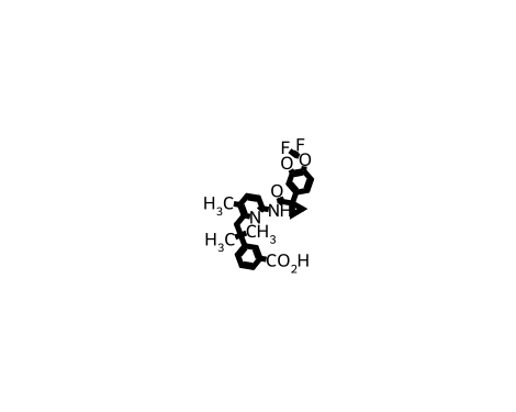 Cc1ccc(NC(=O)C2(c3ccc4c(c3)OC(F)(F)O4)CC2)nc1CC(C)(C)c1cccc(C(=O)O)c1